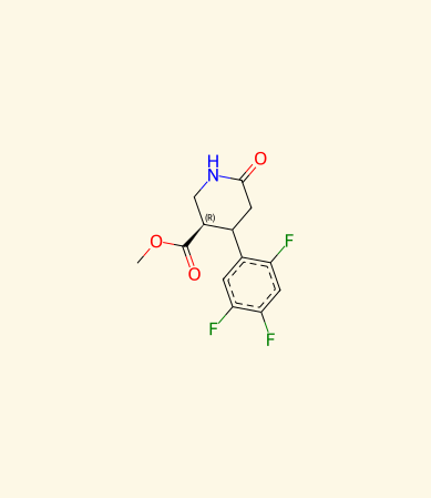 COC(=O)[C@H]1CNC(=O)CC1c1cc(F)c(F)cc1F